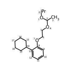 CC(C)OC(C)OCCOc1ccccc1C1CCCCC1